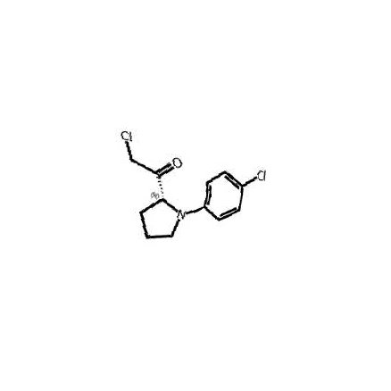 O=C(CCl)[C@H]1CCCN1c1ccc(Cl)cc1